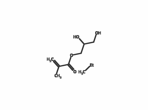 C=C(C)C(=O)OCC(O)CO.CCC